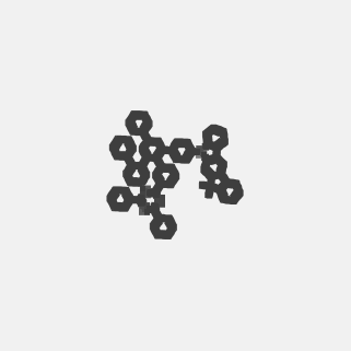 CC1(C)c2ccccc2-c2cc3c4ccccc4n(-c4ccc(-c5cc(-c6ccccc6)cc(-c6ccccc6-c6ccccc6)c5-c5cccc(-c6nc(-c7ccccc7)nc(-c7ccccc7)n6)c5)cc4)c3cc21